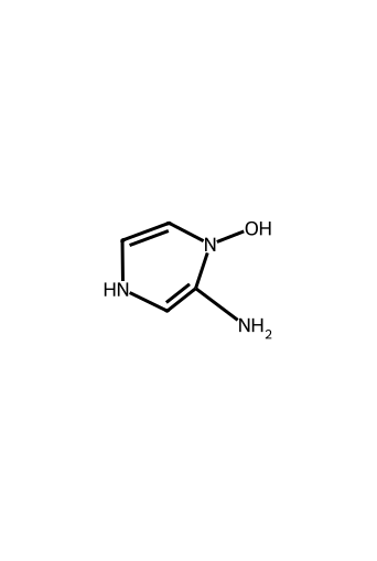 NC1=CNC=CN1O